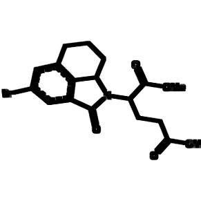 COC(=O)CCC(C(=O)OC)N1C(=O)c2cc(Br)cc3c2C1CCC3